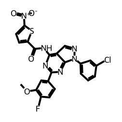 COc1cc(-c2nc(NC(=O)c3ccc([N+](=O)[O-])s3)c3cnn(-c4cccc(Cl)c4)c3n2)ccc1F